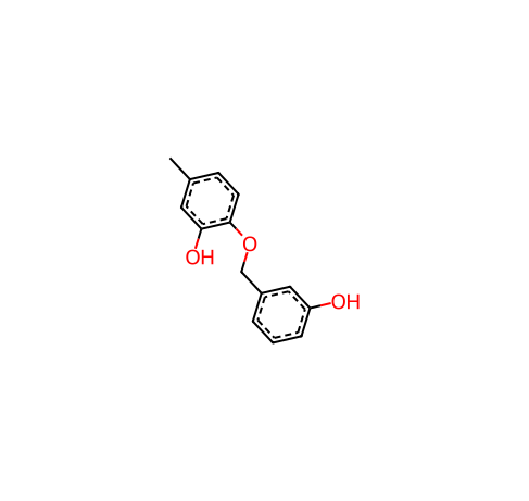 Cc1ccc(OCc2cccc(O)c2)c(O)c1